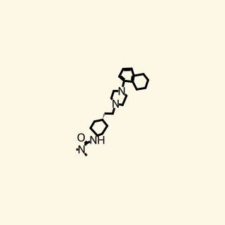 CN(C)C(=O)N[C@H]1CC[C@H](CCN2CCN(c3cccc4c3CCCC4)CC2)CC1